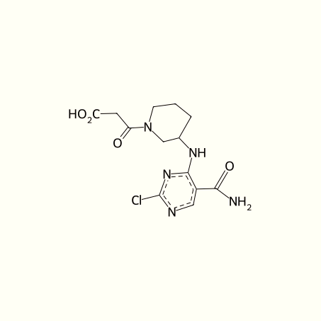 NC(=O)c1cnc(Cl)nc1NC1CCCN(C(=O)CC(=O)O)C1